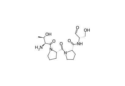 C[C@@H](O)[C@H](N)C(=O)N1CCC[C@H]1C(=O)N1CCC[C@H]1C(=O)N[C@H](C=O)CO